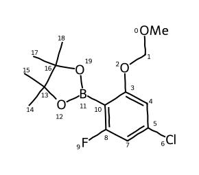 COCOc1cc(Cl)cc(F)c1B1OC(C)(C)C(C)(C)O1